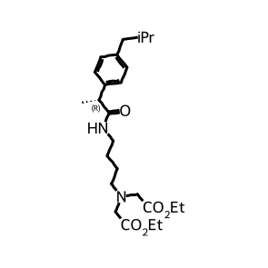 CCOC(=O)CN(CCCCNC(=O)[C@H](C)c1ccc(CC(C)C)cc1)CC(=O)OCC